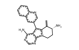 C=C1c2c(-c3cnc4ccccc4c3)c3c(N)ncnc3n2CC[C@H]1N